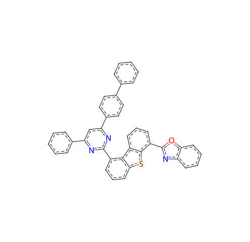 c1ccc(-c2ccc(-c3cc(-c4ccccc4)nc(-c4cccc5sc6c(-c7nc8ccccc8o7)cccc6c45)n3)cc2)cc1